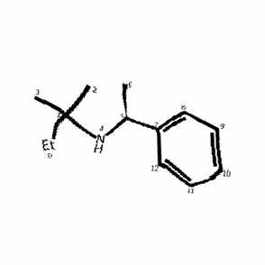 CCC(C)(C)N[C@@H](C)c1ccccc1